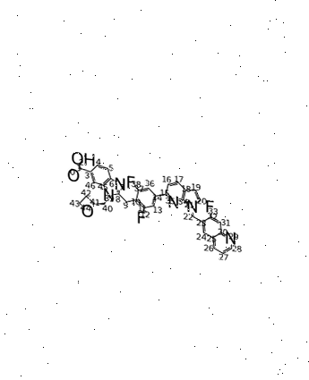 O=C(O)c1ccc2nc(Cc3c(F)cc(-c4ccc5ccn(Cc6cc7cccnc7cc6F)c5n4)cc3F)n(C[C@@H]3CCO3)c2c1